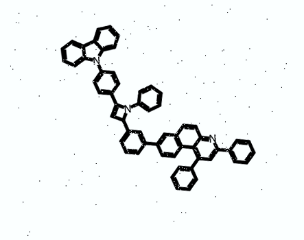 C1=C(c2ccc(-n3c4ccccc4c4ccccc43)cc2)N(c2ccccc2)C1c1cccc(-c2ccc3c(ccc4nc(-c5ccccc5)cc(-c5ccccc5)c43)c2)c1